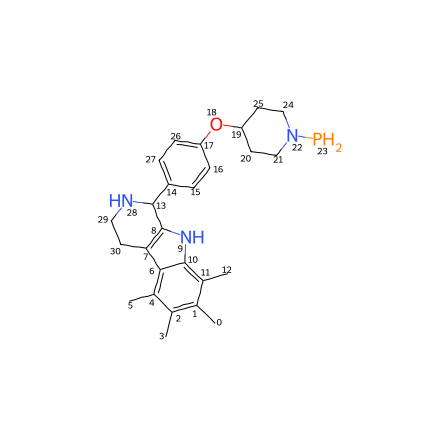 Cc1c(C)c(C)c2c3c([nH]c2c1C)C(c1ccc(OC2CCN(P)CC2)cc1)NCC3